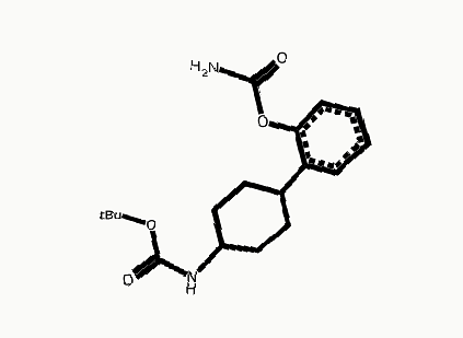 CC(C)(C)OC(=O)NC1CCC(c2ccccc2OC(N)=O)CC1